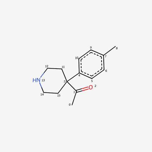 CC(=O)C1(c2ccc(C)cc2)CCNCC1